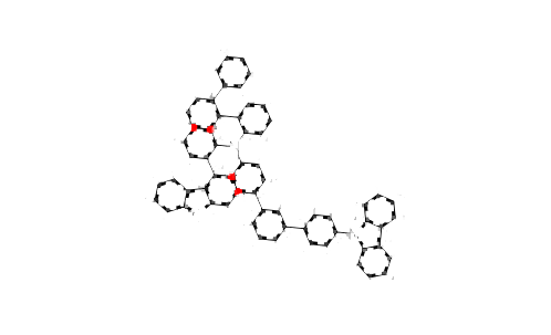 c1ccc(-c2ccccc2-c2ccccc2N(c2ccc(-c3cccc(-c4ccc(-n5c6ccccc6c6ccccc65)cc4)c3)cc2)c2ccccc2-c2cccc3oc4ccccc4c23)cc1